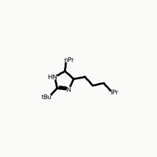 CCCC1NC(C(C)(C)C)=NC1CCCC(C)C